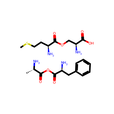 CSCC[C@H](N)C(=O)OC[C@H](N)C(=O)O.C[C@H](N)C(=O)OC(=O)[C@@H](N)Cc1ccccc1